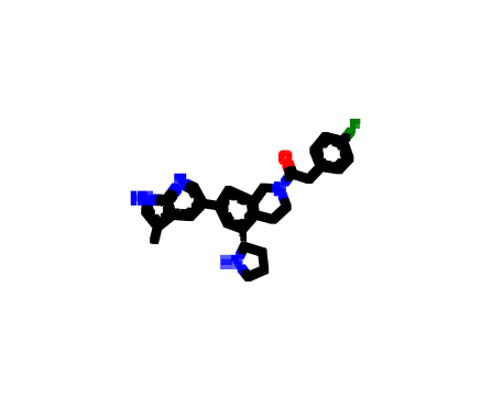 Cc1c[nH]c2ncc(-c3cc4c(c([C@@H]5CCCN5)c3)CCN(C(=O)Cc3ccc(F)cc3)C4)cc12